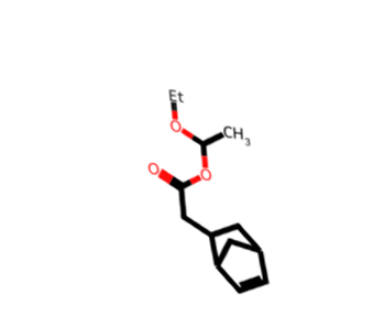 CCOC(C)OC(=O)CC1CC2C=CC1C2